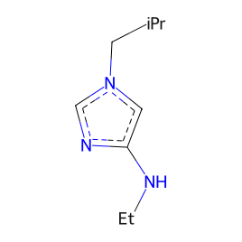 CCNc1cn(CC(C)C)cn1